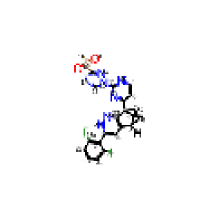 CC1(C)[C@H]2CC[C@@]1(c1ccnc(-n3cnc(S(C)(=O)=O)n3)n1)c1nnc(-c3c(F)cccc3F)cc12